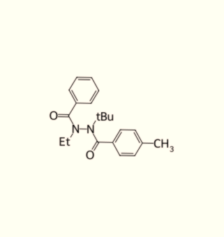 CCN(C(=O)c1ccccc1)N(C(=O)c1ccc(C)cc1)C(C)(C)C